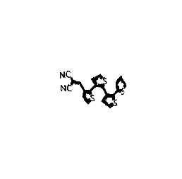 N#CC(C#N)=Cc1ccsc1-c1ccsc1-c1ccsc1-c1cccs1